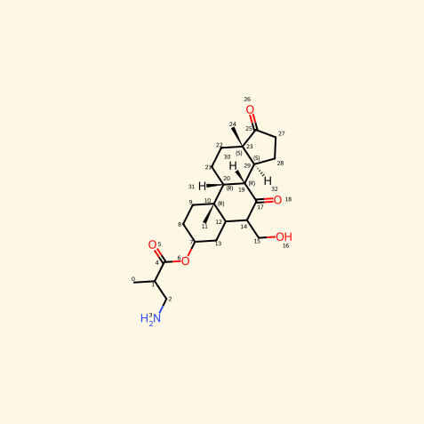 CC(CN)C(=O)OC1CC[C@@]2(C)C(C1)C(CO)C(=O)[C@@H]1[C@H]2CC[C@]2(C)C(=O)CC[C@@H]12